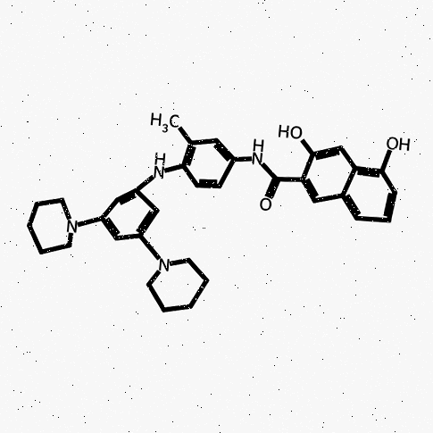 Cc1cc(NC(=O)c2cc3cccc(O)c3cc2O)ccc1Nc1cc(N2CCCCC2)cc(N2CCCCC2)c1